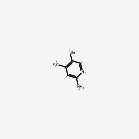 CC(C)(C)c1cnc(N)cc1C(F)(F)F